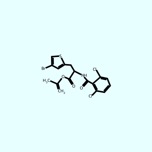 C=C(C)OC(=O)C(Cc1cc(Br)cs1)NC(=O)c1c(Cl)cccc1Cl